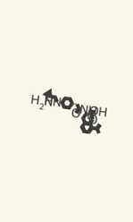 C=C(C)c1cccc2c1OB(O)[C@@H](NC(=O)C[C@H]1CC[C@H](NCC3(N)CC3)CC1)C2